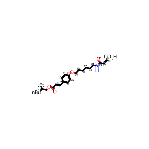 CCCCC(CC)COC(=O)/C=C/c1ccc(OCCCCCCNC(=O)/C=C\C(=O)O)cc1